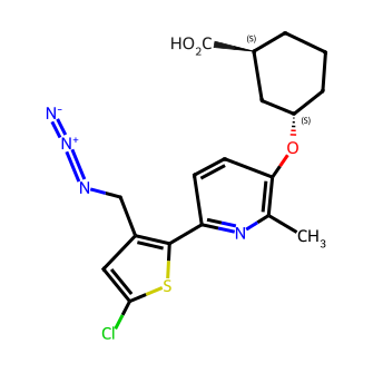 Cc1nc(-c2sc(Cl)cc2CN=[N+]=[N-])ccc1O[C@H]1CCC[C@H](C(=O)O)C1